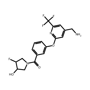 NCc1cc(Oc2cccc(C(=O)N3CC(O)C(F)C3)c2)nc(C(F)(F)F)c1